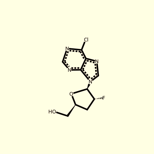 OC[C@@H]1C[C@@H](F)[C@H](n2cnc3c(Cl)ncnc32)O1